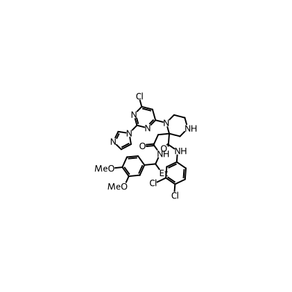 CCC(NC(=O)CC1(C(=O)Nc2ccc(Cl)c(Cl)c2)CNCCN1c1cc(Cl)nc(-n2ccnc2)n1)c1ccc(OC)c(OC)c1